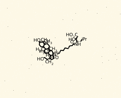 C=C(CO)[C@@H]1CC[C@]2(C(=O)NCCCCCCCC(=O)N[C@@H](CC(C)C)[C@@H](O)CC(=O)O)CC[C@]3(C)[C@H](CCC4[C@@]5(C)CC[C@H](O)C(C)(C)[C@@H]5CC[C@]43C)[C@@H]12